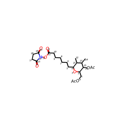 CC(=O)OCC1OC(CCCCCCC(=O)ON2C(=O)CCC2=O)C(C)C(C)C1OC(C)=O